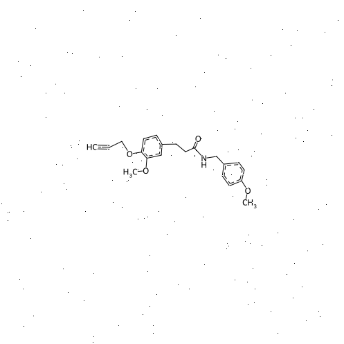 C#CCOc1ccc(CCC(=O)NCc2ccc(OC)cc2)cc1OC